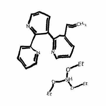 C=Cc1cccnc1-c1cccnc1-c1ccccn1.CCO[SiH](OCC)OCC